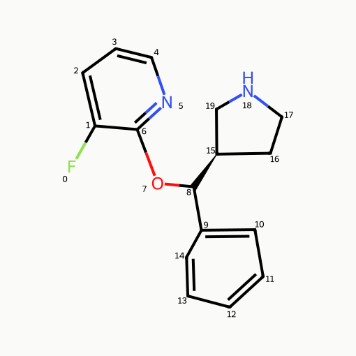 Fc1cccnc1OC(c1ccccc1)[C@@H]1CCNC1